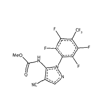 COC(=O)Nc1c(C#N)cnn1-c1c(F)c(F)c(C(F)(F)F)c(F)c1F